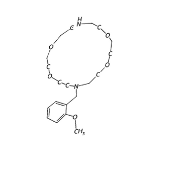 COc1ccccc1CN1CCOCCOCCNCCOCCOCC1